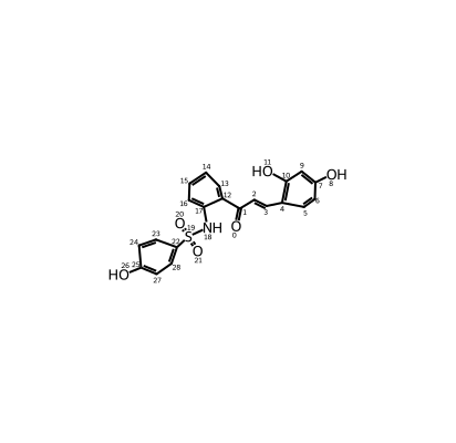 O=C(C=Cc1ccc(O)cc1O)c1ccccc1NS(=O)(=O)c1ccc(O)cc1